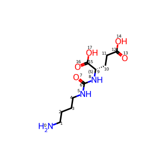 NCCCCNC(=O)N[C@@H](CCC(=O)O)C(=O)O